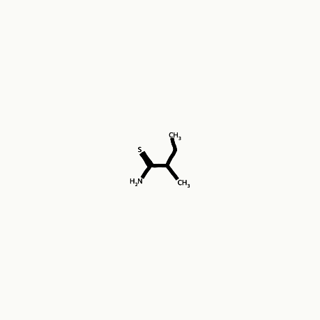 CCC(C)C(N)=S